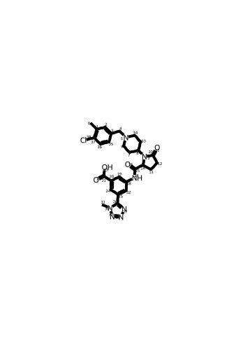 Cc1cc(CN2CCC(N3C(=O)CCC3C(=O)Nc3cc(C(=O)O)cc(-c4nnnn4C)c3)CC2)ccc1Cl